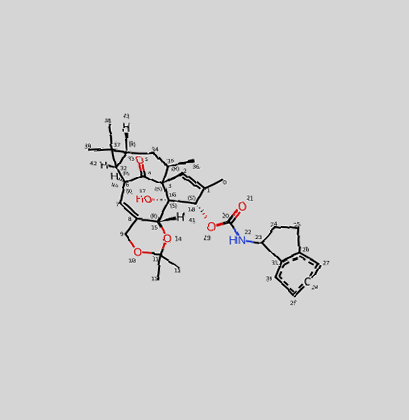 CC1=C[C@]23C(=O)[C@@H](C=C4COC(C)(C)O[C@H]4[C@]2(O)[C@H]1OC(=O)NC1CCc2ccccc21)[C@H]1[C@@H](C[C@H]3C)C1(C)C